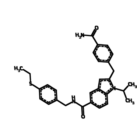 CCSc1ccc(CNC(=O)c2ccc3c(c2)cc(Cc2ccc(C(N)=O)cc2)n3C(C)C)cc1